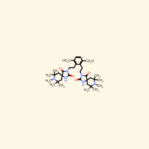 CN1C(C)(C)CC2(CC1(C)C)NC(=O)N(CCc1c(C(=O)O)ccc(C(=O)O)c1CCN1C(=O)NC3(CC(C)(C)N(C)C(C)(C)C3)C1=O)C2=O